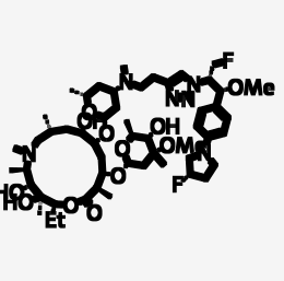 CC[C@H]1OC(=O)[C@H](C)[C@@H](O[C@H]2C[C@@](C)(OC)[C@@H](O)[C@H](C)O2)C[C@@H](O[C@H]2C[C@@H](N(C)CCc3cn([C@H](CF)[C@H](OC)c4ccc(N5CC[C@H](F)C5)cc4)nn3)C[C@@H](C)O2)[C@H](O)C[C@@H](C)CN(C)[C@H](C)[C@@H](O)[C@]1(C)O